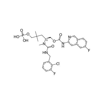 CN(C(=O)NCc1cccc(F)c1Cl)[C@H](COC(=O)Nc1cc2cc(F)ccc2cn1)CC(C)(C)COP(=O)(O)O